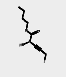 CCCCOC(=O)N(O)C#CCI